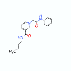 CCCCNC(=O)C1=CC=CN(CC(=O)Nc2ccccc2)C1